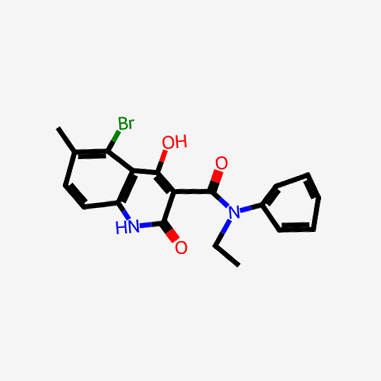 CCN(C(=O)c1c(O)c2c(Br)c(C)ccc2[nH]c1=O)c1ccccc1